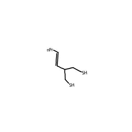 CCCC=CC(CS)CS